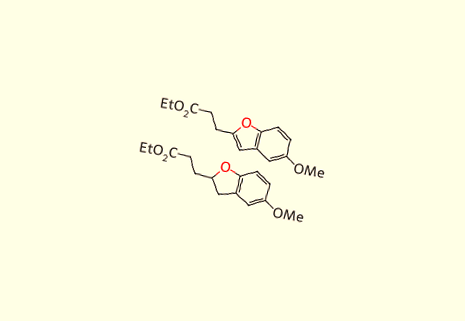 CCOC(=O)CCC1Cc2cc(OC)ccc2O1.CCOC(=O)CCc1cc2cc(OC)ccc2o1